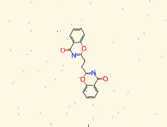 O=c1nc(CCc2nc(=O)c3ccccc3o2)oc2ccccc12